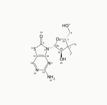 CC1(C)[C@@H](CO)O[C@@H](n2c(=O)sc3cnc(N)nc32)[C@@H]1O